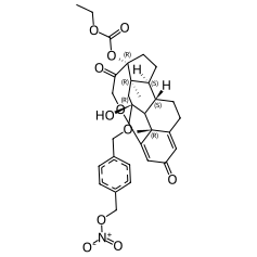 CCOC(=O)O[C@@]12CC[C@H]3[C@@H]4CCC5=CC(=O)C=C(OCC1=O)[C@]5(C)C4[C@](O)(OCc1ccc(CO[N+](=O)[O-])cc1)C[C@]32C